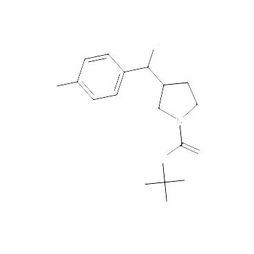 CC(C)(C)OC(=O)N1CCC(C(O)c2ccc(Br)cc2)C1